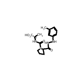 Cc1cccc(NNC(=O)C2CCCN2C(=O)N[C@@H](C)C(=O)O)c1